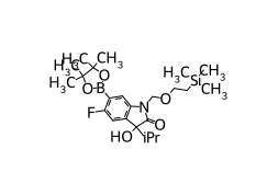 CC(C)C1(O)C(=O)N(COCC[Si](C)(C)C)c2cc(B3OC(C)(C)C(C)(C)O3)c(F)cc21